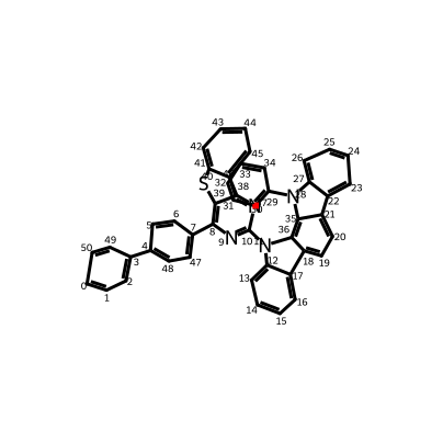 c1ccc(-c2ccc(-c3nc(-n4c5ccccc5c5ccc6c7ccccc7n(-c7ccccc7)c6c54)nc4c3sc3ccccc34)cc2)cc1